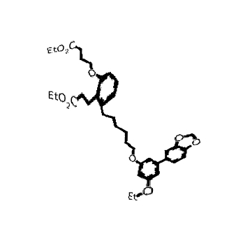 CCOC(=O)CCCOc1cccc(CCCCCCOc2cc(OCC)cc(-c3ccc4c(c3)OCO4)c2)c1CCC(=O)OCC